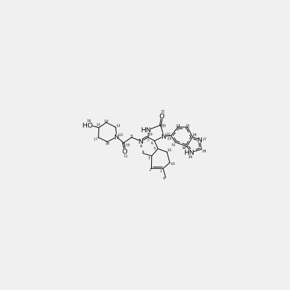 CC1=CC(C)C(C2C(=NCC(=O)N3CCC(O)CC3)NC(=O)N2c2ccc3nc[nH]c3c2)CC1